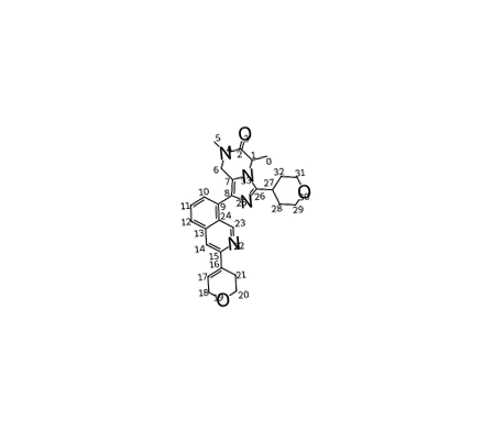 CC1C(=O)N(C)Cc2c(-c3cccc4cc(C5=CCOCC5)ncc34)nc(C3CCOCC3)n21